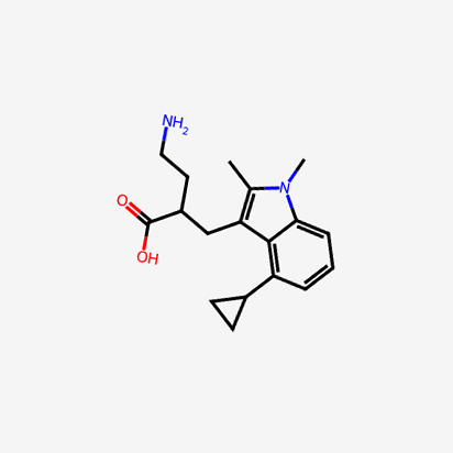 Cc1c(CC(CCN)C(=O)O)c2c(C3CC3)cccc2n1C